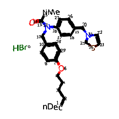 Br.CCCCCCCCCCCCCCOc1ccc(CN(C(=O)NC)c2ccc(CN3C=CSC3)cc2)cc1